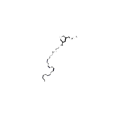 CC/C=C\C/C=C\C/C=C\C/C=C\C/C=C\CCCC(=O)NCCNC(=O)C1=CNCC(CN=[N+]=[N-])=C1